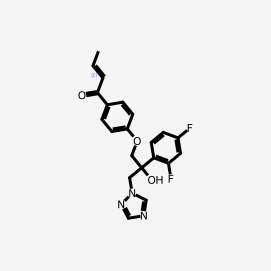 C/C=C/C(=O)c1ccc(OCC(O)(Cn2cncn2)c2ccc(F)cc2F)cc1